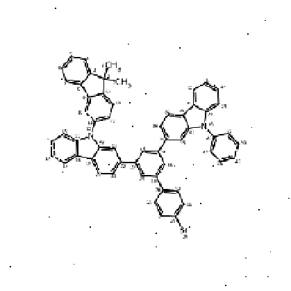 CC1(C)c2ccccc2-c2cc(-n3c4ccccc4c4ccc(-c5cc(-c6ccc(Br)cc6)cc(-c6ccc7c8ccccc8n(-c8ccccc8)c7c6)c5)cc43)ccc21